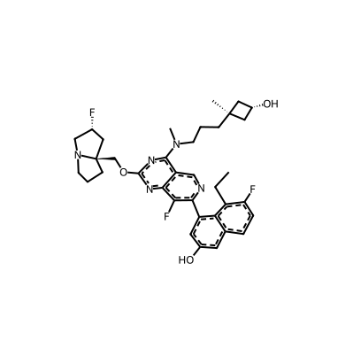 CCc1c(F)ccc2cc(O)cc(-c3ncc4c(N(C)CCC[C@]5(C)C[C@@H](O)C5)nc(OC[C@@]56CCCN5C[C@H](F)C6)nc4c3F)c12